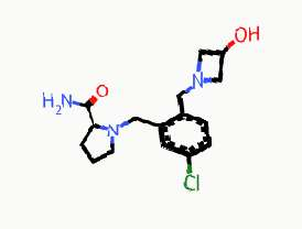 NC(=O)[C@@H]1CCCN1Cc1cc(Cl)ccc1CN1CC(O)C1